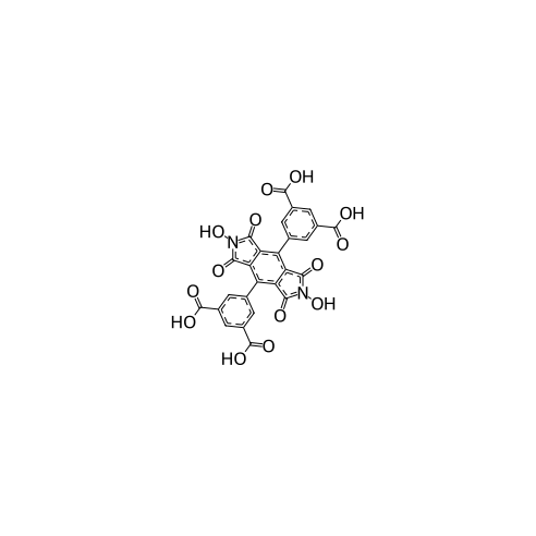 O=C(O)c1cc(C(=O)O)cc(-c2c3c(=O)n(O)c(=O)c3c(-c3cc(C(=O)O)cc(C(=O)O)c3)c3c(=O)n(O)c(=O)c23)c1